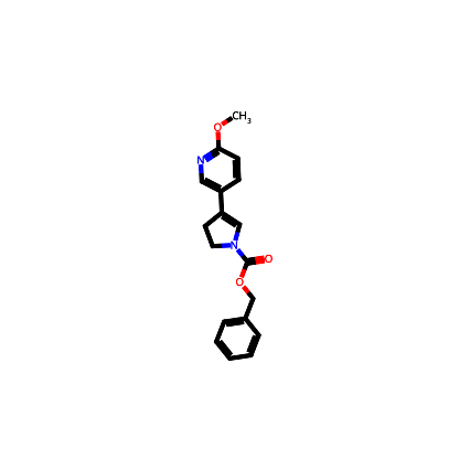 COc1ccc(C2=CN(C(=O)OCc3ccccc3)CC2)cn1